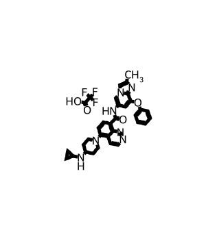 Cc1cn2cc(NC(=O)c3ccc(N4CCC(NC5CC5)CC4)c4ccnnc34)cc(Oc3ccccc3)c2n1.O=C(O)C(F)(F)F